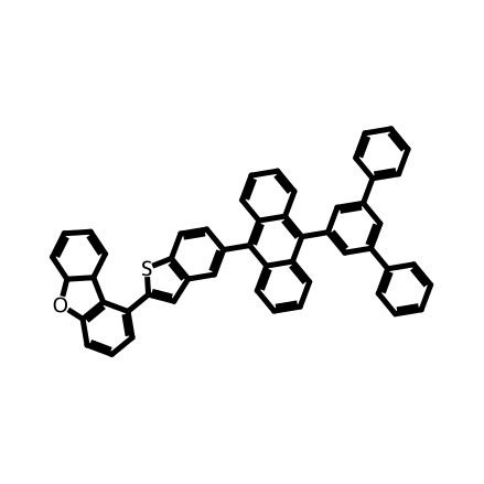 C1=CC2Oc3cccc(-c4cc5cc(-c6c7ccccc7c(-c7cc(-c8ccccc8)cc(-c8ccccc8)c7)c7ccccc67)ccc5s4)c3C2C=C1